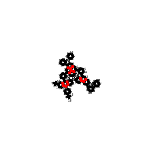 CC(C)(C)c1ccc(N(c2ccc(C(C)(C)C)cc2)c2ccc3c(c2)N(c2c(-c4ccccc4)cccc2-c2ccccc2)c2cc(-c4ccc5c(c4)c4ccccc4n5-c4ccccc4)cc4c2B3c2ccc(-c3ccc5c(c3)c3cccc6c7ccccc7n5c63)cc2N4c2c(-c3ccccc3)cccc2-c2ccccc2)cc1